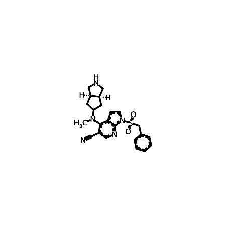 CN(c1c(C#N)cnc2c1ccn2S(=O)(=O)Cc1ccccc1)C1C[C@H]2CNC[C@H]2C1